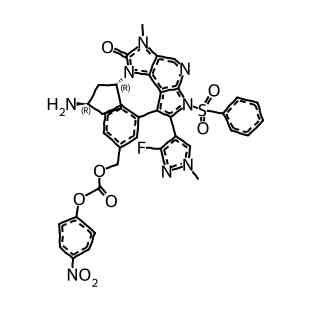 Cn1cc(-c2c(-c3cccc(COC(=O)Oc4ccc([N+](=O)[O-])cc4)c3)c3c(ncc4c3n([C@@H]3CC[C@@H](N)C3)c(=O)n4C)n2S(=O)(=O)c2ccccc2)c(F)n1